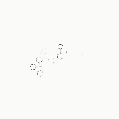 CSCC[C@@H](CO)NC(=O)c1ccc(NC[C@@H]2C[C@H](SC(c3ccccc3)(c3ccccc3)c3ccccc3)CN2C(=O)OC(C)(C)C)cc1-c1nccs1